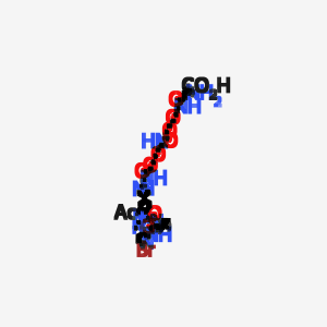 CC(=O)c1nn(CC(=O)N2C3C[C@]3(C)C[C@H]2C(=O)Nc2nc(Br)ccc2CN(C)C)c2ccc(-c3cnc(CNC(=O)COCCOCCNC(=O)COCCOCCNC(=O)CC[C@H](N)C(=O)O)nc3)cc12